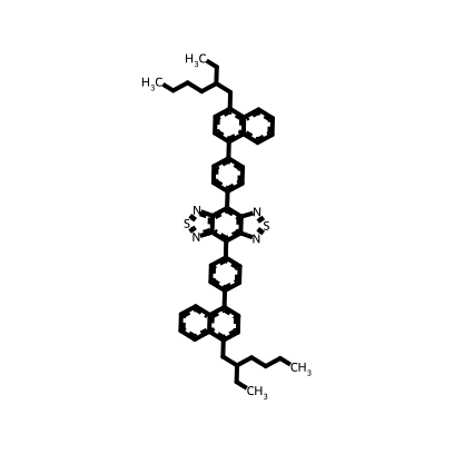 CCCCC(CC)Cc1ccc(-c2ccc(-c3c4c(c(-c5ccc(-c6ccc(CC(CC)CCCC)c7ccccc67)cc5)c5nsnc35)N=S=N4)cc2)c2ccccc12